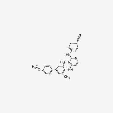 COc1ccc(-c2cc(C)c(Nc3ccnc(Nc4ccc(C#N)cc4)n3)c(C)c2)cc1